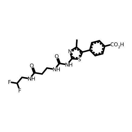 Cc1nc(NC(=O)NCCC(=O)NCC(F)F)sc1-c1ccc(C(=O)O)cc1